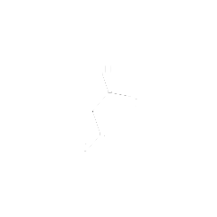 CC(Br)CCCl